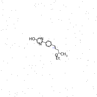 CCOC(C)C/C=C/c1ccc(-c2ncc(O)cn2)cc1